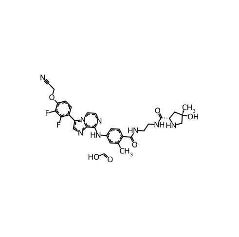 Cc1cc(Nc2nccn3c(-c4ccc(OCC#N)c(F)c4F)cnc23)ccc1C(=O)NCCNC(=O)[C@@H]1C[C@](C)(O)CN1.O=CO